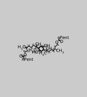 CCCCCC(=O)OCCC(C)CCCC(C)(C)c1cc(O)c(C(C)(C)CCCC(C)CCOC(=O)CCCCC)cc1O